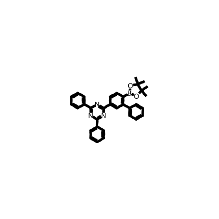 CC1(C)OB(c2ccc(-c3nc(-c4ccccc4)nc(-c4ccccc4)n3)cc2-c2ccccc2)OC1(C)C